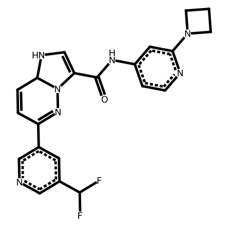 O=C(Nc1ccnc(N2CCC2)c1)C1=CNC2C=CC(c3cncc(C(F)F)c3)=NN12